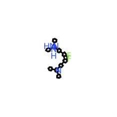 FC1(F)c2ccc(-c3ccc(C4=NC(c5ccccc5)NC(c5ccccc5)N4)cc3)cc2-c2cc(-c3ccc(-c4cc(-c5ccccc5)cc(-c5ccccc5)n4)cc3)ccc21